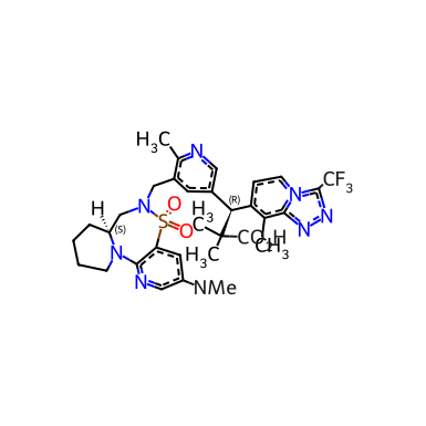 CNc1cnc2c(c1)S(=O)(=O)N(Cc1cc([C@@H](c3ccn4c(C(F)(F)F)nnc4c3C)C(C)(C)C(=O)O)cnc1C)C[C@@H]1CCCCN21